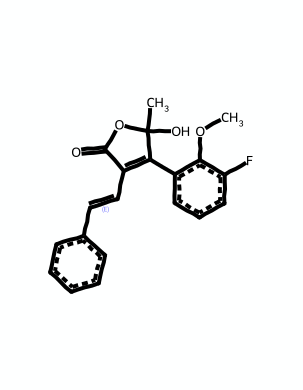 COc1c(F)cccc1C1=C(/C=C/c2ccccc2)C(=O)OC1(C)O